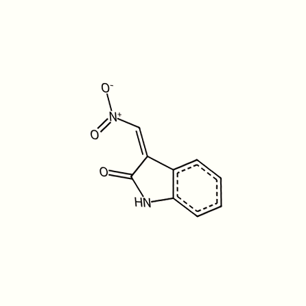 O=C1Nc2ccccc2C1=C[N+](=O)[O-]